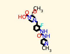 COC[C@@H]1CN(Cc2cccc(NC(=O)Nc3ccc(C)nc3)c2F)CCN1C(=O)O